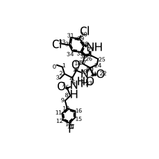 CCC(C)C(NC(=O)CCc1ccc(F)cc1)C(=O)N[C@]1(C(=O)O)CCc2[nH]c3c(Cl)cc(Cl)cc3c2C1